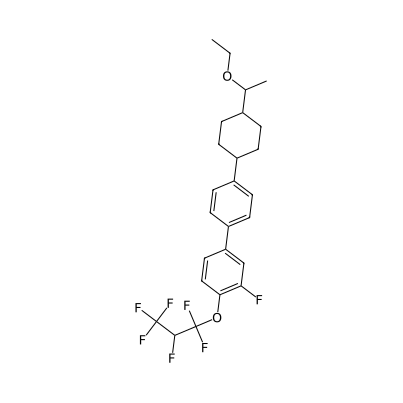 CCOC(C)C1CCC(c2ccc(-c3ccc(OC(F)(F)C(F)C(F)(F)F)c(F)c3)cc2)CC1